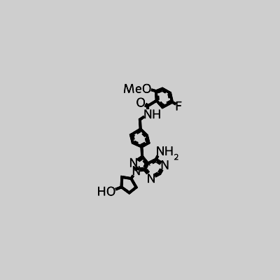 COc1ccc(F)cc1C(=O)NCc1ccc(-c2nn(C3CCC(O)C3)c3ncnc(N)c23)cc1